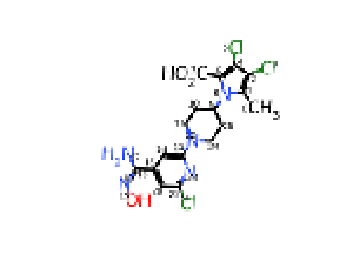 Cc1c(Cl)c(Cl)c(C(=O)O)n1C1CCN(c2cc(/C(N)=N\O)cc(Cl)n2)CC1